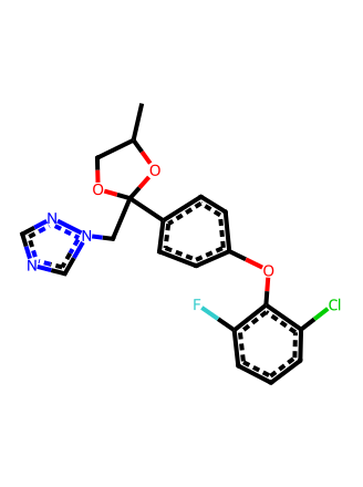 CC1COC(Cn2cncn2)(c2ccc(Oc3c(F)cccc3Cl)cc2)O1